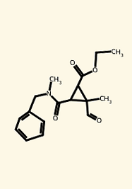 CCOC(=O)C1C(C(=O)N(C)Cc2ccccc2)C1(C)C=O